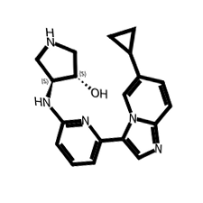 O[C@H]1CNC[C@@H]1Nc1cccc(-c2cnc3ccc(C4CC4)cn23)n1